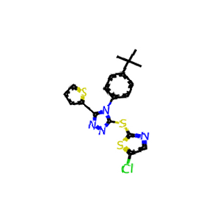 CC(C)(C)c1ccc(-n2c(Sc3ncc(Cl)s3)nnc2-c2cccs2)cc1